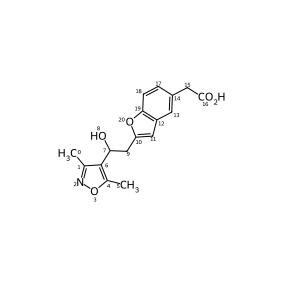 Cc1noc(C)c1C(O)Cc1cc2cc(CC(=O)O)ccc2o1